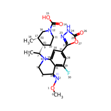 CO/N=C1\CCN(C(C)[C@H]2CCN(C(=O)O)C[C@H]2C)c2cc(-c3n[nH]c(=O)o3)cc(F)c21